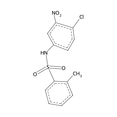 Cc1ccccc1S(=O)(=O)Nc1ccc(Cl)c([N+](=O)[O-])c1